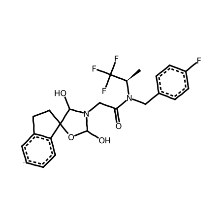 C[C@@H](N(Cc1ccc(F)cc1)C(=O)CN1C(O)OC2(CCc3c[c]ccc32)C1O)C(F)(F)F